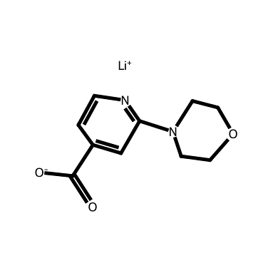 O=C([O-])c1ccnc(N2CCOCC2)c1.[Li+]